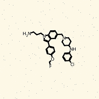 NCCCn1cc(-c2ccc(OCF)cc2)c2cc(CN3CCC(Nc4cccc(Cl)c4)CC3)ccc21